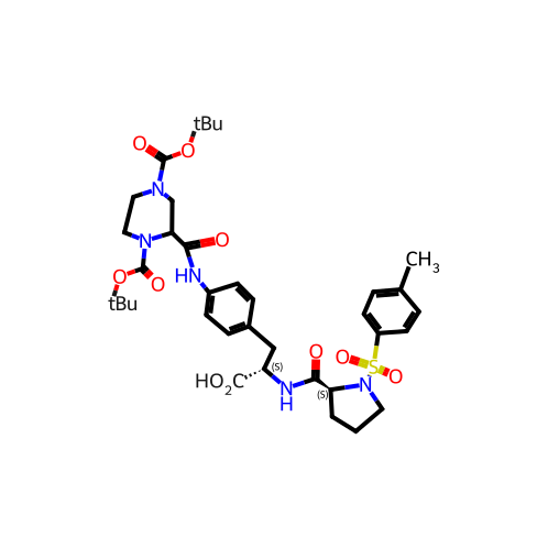 Cc1ccc(S(=O)(=O)N2CCC[C@H]2C(=O)N[C@@H](Cc2ccc(NC(=O)C3CN(C(=O)OC(C)(C)C)CCN3C(=O)OC(C)(C)C)cc2)C(=O)O)cc1